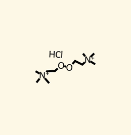 C[N+](C)(C)CCOOCC[N+](C)(C)C.Cl